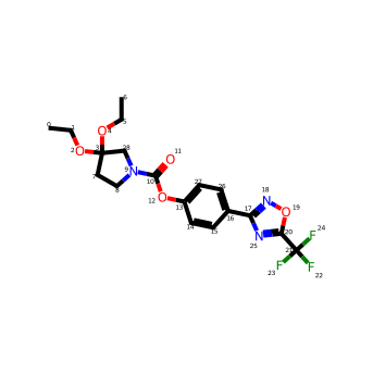 CCOC1(OCC)CCN(C(=O)Oc2ccc(-c3noc(C(F)(F)F)n3)cc2)C1